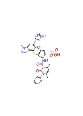 CS(=O)(=O)O.Cc1cc(C)n(-c2ccccc2)c(=O)c1C(=O)Nc1ccc(Oc2cc3cnn(C)c3cc2-c2cn[nH]c2)c(F)c1